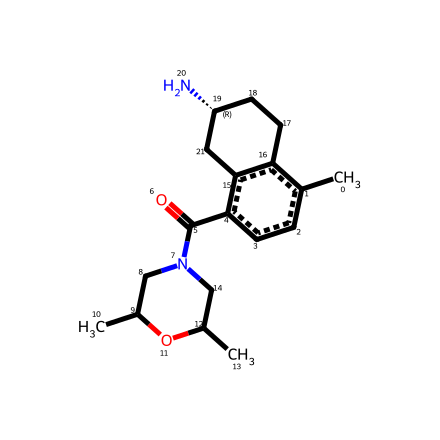 Cc1ccc(C(=O)N2CC(C)OC(C)C2)c2c1CC[C@@H](N)C2